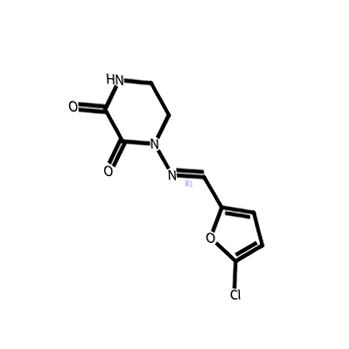 O=C1NCCN(/N=C/c2ccc(Cl)o2)C1=O